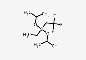 CC[Si](CC(F)(F)F)(OC(C)C)OC(C)C